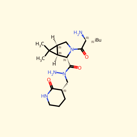 CC[C@H](C)[C@H](N)C(=O)N1C[C@H]2[C@@H]([C@H]1C(=O)N(N)C[C@@H]1CCCNC1=O)C2(C)C